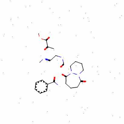 C/N=C/[C@H](CC(=O)C(=O)OC(C)(C)C)NC(=O)[C@@H]1CCCN2C(=O)CC[C@H](NC(=O)c3ccccc3)C(=O)N12